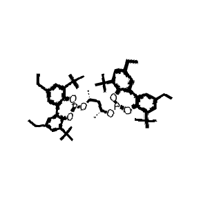 CCc1cc(C(C)(C)C)c2op(O[C@H](C)C[C@@H](C)Op3oc4c(C(C)(C)C)cc(CC)cc4c4cc(CC)cc(C(C)(C)C)c4o3)oc3c(C(C)(C)C)cc(CC)cc3c2c1